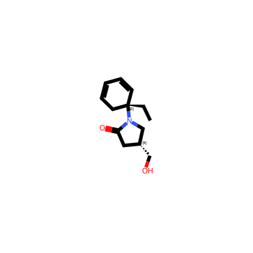 CC[C@]1(N2C[C@H](CO)CC2=O)C=CC=CC1